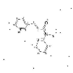 CN(C(=O)C=Cc1cccnc1)c1ccccc1